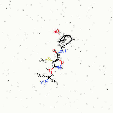 CC(C)Sc1c(OCC(C)(C)N)noc1C(=O)NC1C2CC3CC(C2)C1C[C@@H](O)C3